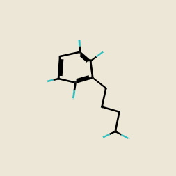 Fc1[c]c(F)c(F)c(CCCC(F)F)c1F